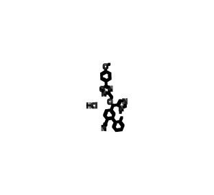 COc1ccc(-c2nc(COC(c3ccc(C#N)c(-c4ccccc4C)c3)c3cncn3C)no2)cc1.Cl